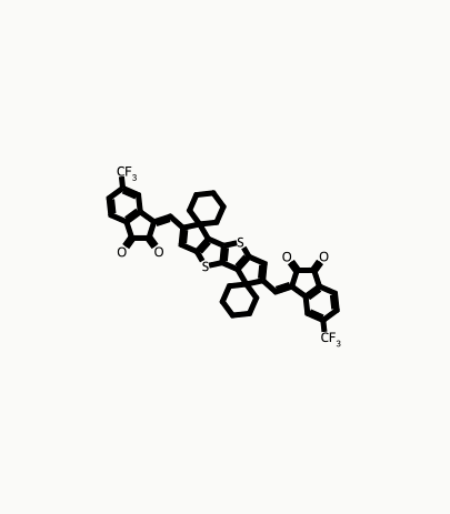 O=C1C(=O)c2ccc(C(F)(F)F)cc2/C1=C/C1=Cc2sc3c4c(sc3c2C12CCCCC2)C=C(/C=C1\C(=O)C(=O)c2ccc(C(F)(F)F)cc21)C41CCCCC1